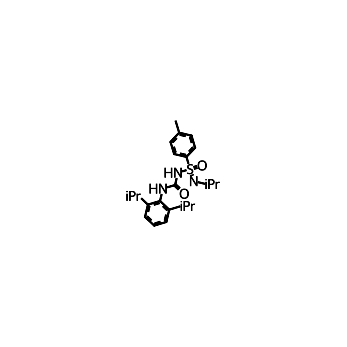 Cc1ccc(S(=O)(=NC(C)C)NC(=O)Nc2c(C(C)C)cccc2C(C)C)cc1